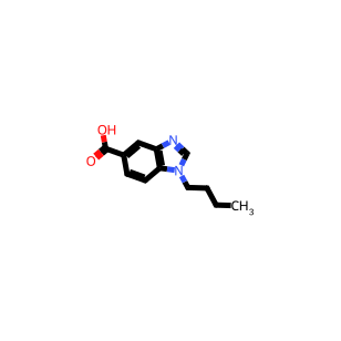 CCCCn1cnc2cc(C(=O)O)ccc21